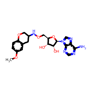 COc1ccc2c(c1)CC(NOC[C@H]1O[C@@H](n3cnc4c(N)ncnc43)[C@H](O)[C@@H]1O)CO2